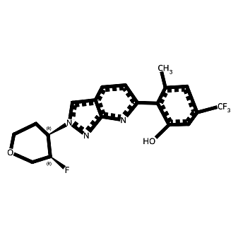 Cc1cc(C(F)(F)F)cc(O)c1-c1ccc2cn([C@@H]3CCOC[C@@H]3F)nc2n1